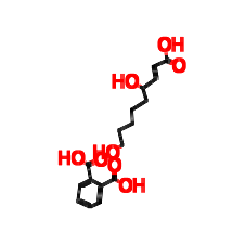 O=C(O)C=CC(O)CCCCCO.O=C(O)c1ccccc1C(=O)O